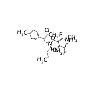 CCCC(C)N(C/C(=C(\C)Cl)c1ccc(C)cc1)C(=O)/C(C(=N)C(F)F)=C(\F)NC